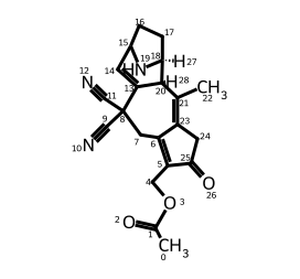 CC(=O)OCC1=C2CC(C#N)(C#N)C3=CC4CC[C@H](N4)[C@@H]3C(C)=C2CC1=O